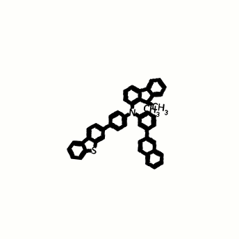 CC1(C)c2ccccc2-c2cccc(N(c3ccc(-c4ccc5c(c4)sc4ccccc45)cc3)c3cccc(-c4ccc5ccccc5c4)c3)c21